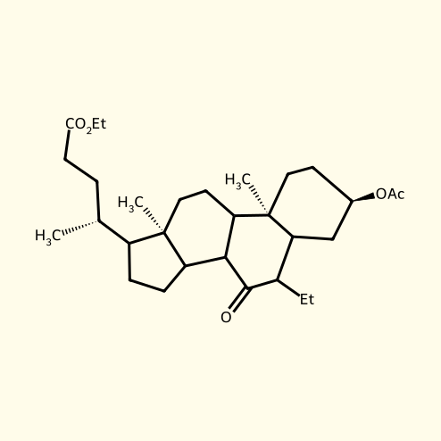 CCOC(=O)CC[C@@H](C)C1CCC2C3C(=O)C(CC)C4C[C@H](OC(C)=O)CC[C@]4(C)C3CC[C@@]21C